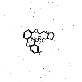 O=C(O)[C@@H]1CCCN1CCOc1cccc(Cl)c1[S+]([O-])c1cccc(F)c1